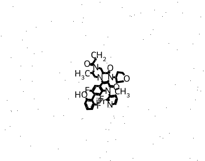 C=CC(=O)N1CC2C(=O)N(C3CCOCC3)c3c(c4cc(F)c(-c5c(O)cccc5F)c(F)c4n(-c4c(C)ccnc4C(C)C)c3=O)N2CC1C